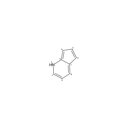 c1c[nH]c2cccc-2c1